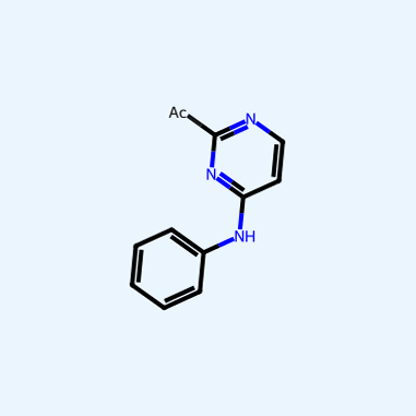 CC(=O)c1nccc(Nc2ccccc2)n1